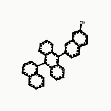 Oc1ccc2ccc(-c3c4ccccc4c(-c4cccc5ccccc45)c4ccccc34)cc2c1